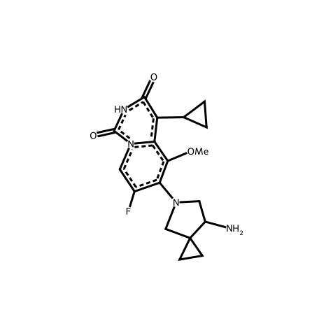 COc1c(N2CC(N)C3(CC3)C2)c(F)cn2c(=O)[nH]c(=O)c(C3CC3)c12